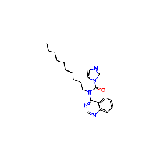 CCCCCCCCCCN(C(=O)n1ccnc1)c1ncnc2ccccc12